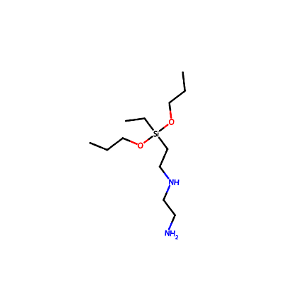 CCCO[Si](CC)(CCNCCN)OCCC